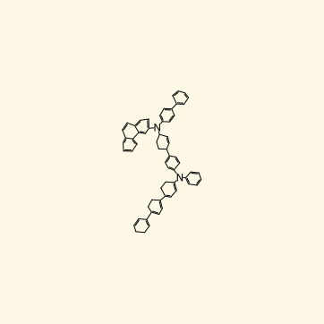 C1=CC(C2=CC=C(C3=CC=C(N(c4ccccc4)c4ccc(C5C=CC(N(c6ccc(-c7ccccc7)cc6)c6ccc7ccc8ccccc8c7c6)CC5)cc4)CC3)CC2)=CCC1